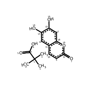 CC(C)(C)C(=O)O.O=c1ccc2cc(O)c(O)cc2o1